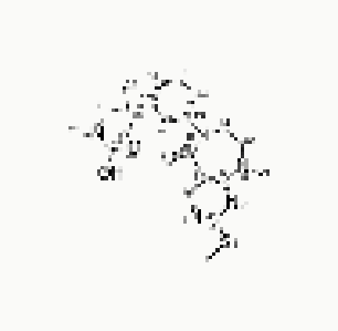 CSc1ncc2c(n1)N(C)CCN(c1cccc(C(C)(C)CN(C)C(=O)O)c1)C2=O